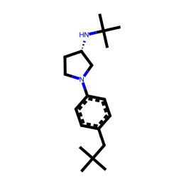 CC(C)(C)Cc1ccc(N2CC[C@H](NC(C)(C)C)C2)cc1